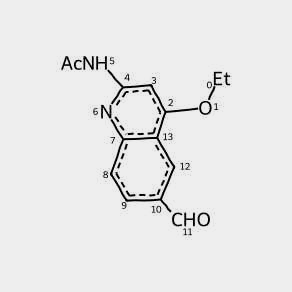 CCOc1cc(NC(C)=O)nc2ccc(C=O)cc12